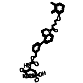 Cc1cccc(OCCCC(=O)N2CCCc3c(-c4cccc(COC(=O)NC(CP(=O)(O)O)C(=O)O)c4)cccc32)c1C